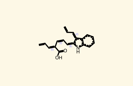 C=C\C=c1/c(=C\C=C/C(=C\C=C)C(=O)O)[nH]c2ccccc12